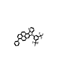 FC(F)(F)c1cc(-n2c3cccnc3c3c4ccc5ccc(-c6ccccc6)c6ccc(cc32)c4c56)cc(C(F)(F)F)c1